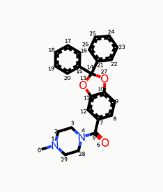 CN1CCN(C(=O)c2ccc3c(c2)OC(c2ccccc2)(c2ccccc2)O3)CC1